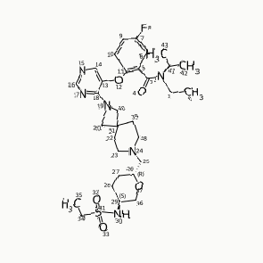 CCN(C(=O)c1cc(F)ccc1Oc1cncnc1N1CC2(CCN(C[C@H]3CC[C@H](NS(=O)(=O)CC)CO3)CC2)C1)C(C)C